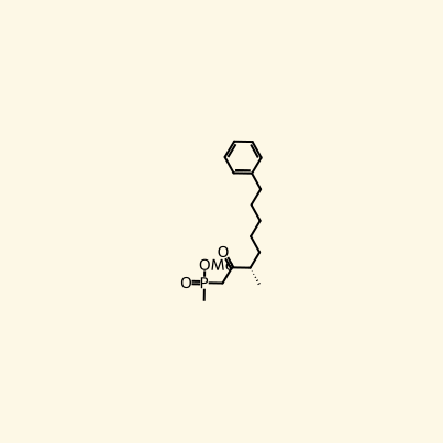 COP(C)(=O)CC(=O)[C@@H](C)CCCCCc1ccccc1